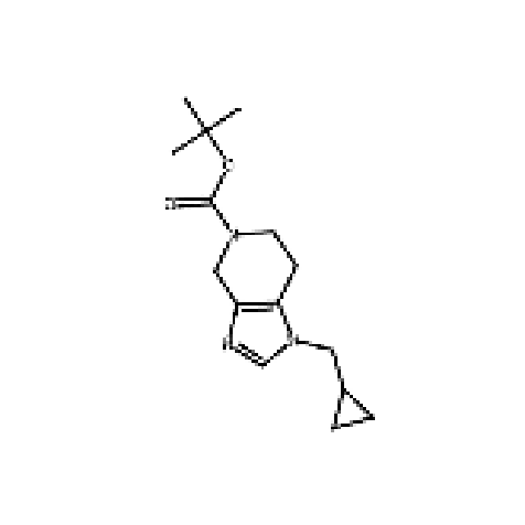 CC(C)(C)OC(=O)N1CCc2c(ncn2CC2CC2)C1